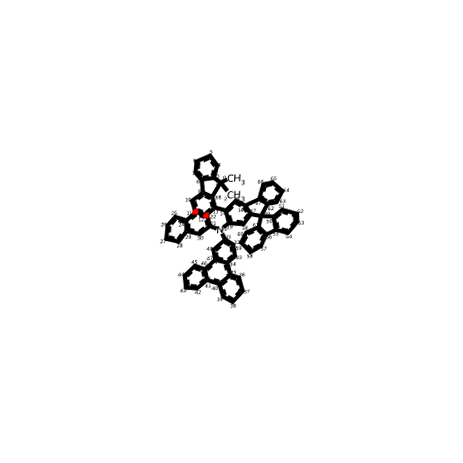 CC1(C)c2ccccc2-c2cccc(-c3cc4c(cc3N(c3ccc5ccccc5c3)c3ccc5c6ccccc6c6ccccc6c5c3)C3(c5ccccc5-c5ccccc53)c3ccccc3-4)c21